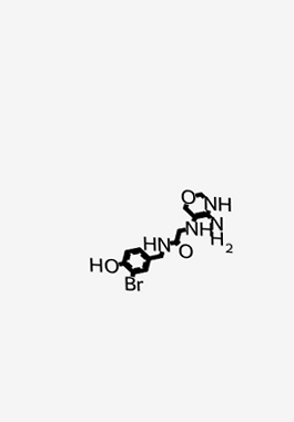 NC1=C(NCC(=O)NCc2ccc(O)c(Br)c2)COCN1